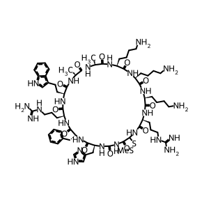 CSSC1NC(=O)[C@H](CCCNC(=N)N)NC(=O)[C@H](CCCCN)NC(=O)[C@H](CCCCN)NC(=O)[C@H](CCCCN)NC(=O)[C@H](C)NC(=O)[C@H](C)NC(=O)[C@H](CCc2c[nH]c3ccccc23)NC(=O)[C@H](CCCNC(=N)N)NC(=O)[C@@H](Cc2ccccc2)NC(=O)[C@H](Cc2c[nH]cn2)NC(=O)NC1=O